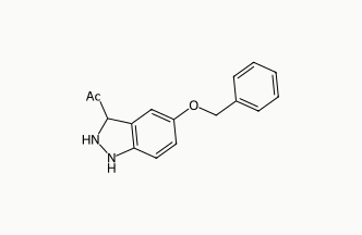 CC(=O)C1NNc2ccc(OCc3ccccc3)cc21